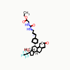 CCOC(=O)CNC(=O)NC/C=C/c1ccc([C@H]2C[C@@]3(C)[C@@H](CC[C@@]3(O)C(F)(F)C(F)(F)F)[C@@H]3CCC4=CC(=O)CCC4=C32)cc1